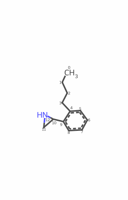 CCCCc1ccccc1C1CN1